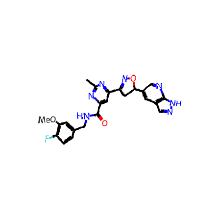 COc1cc(CNC(=O)c2cc(C3=NOC(c4cnc5[nH]ncc5c4)C3)nc(C)n2)ccc1F